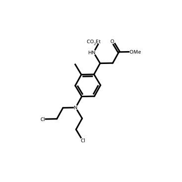 CCOC(=O)NC(CC(=O)OC)c1ccc(N(CCCl)CCCl)cc1C